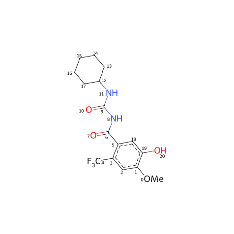 COc1cc(C(F)(F)F)c(C(=O)NC(=O)NC2CCCCC2)cc1O